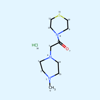 CN1CCN(CC(=O)N2CCSCC2)CC1.Cl